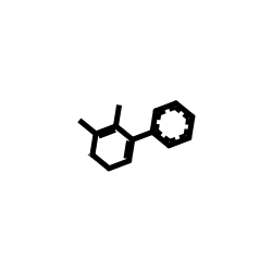 CC1=C(C)C(c2ccccc2)=CC[CH]1